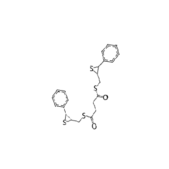 O=C(CCC(=O)SCC1SC1c1ccccc1)SCC1SC1c1ccccc1